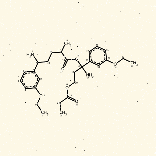 CCOc1cccc(C(N)CCC(C)C(=O)OC(N)(CCOC(=O)CC)c2cccc(OCC)c2)c1